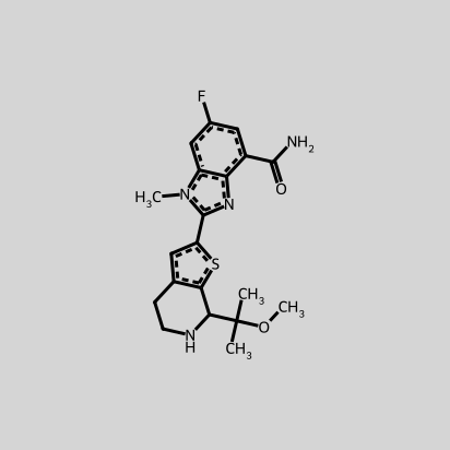 COC(C)(C)C1NCCc2cc(-c3nc4c(C(N)=O)cc(F)cc4n3C)sc21